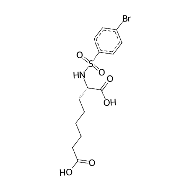 O=C(O)CCCCC[C@H](NS(=O)(=O)c1ccc(Br)cc1)C(=O)O